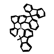 CC1(C)c2ccccc2-c2cccc(N(c3ccccc3-c3ccccc3)c3cccc4c3-c3ccccc3C43c4ccccc4-c4ccccc43)c21